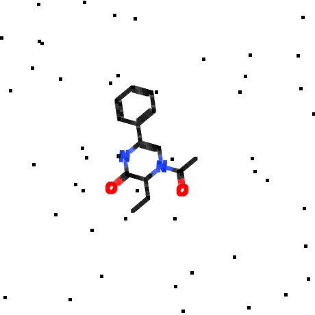 CCC1C(=O)[N]C(c2ccccc2)=CN1C(C)=O